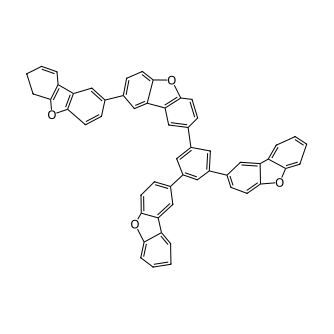 C1=Cc2c(oc3ccc(-c4ccc5oc6ccc(-c7cc(-c8ccc9oc%10ccccc%10c9c8)cc(-c8ccc9oc%10ccccc%10c9c8)c7)cc6c5c4)cc23)CC1